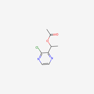 CC(=O)OC(C)c1nccnc1Cl